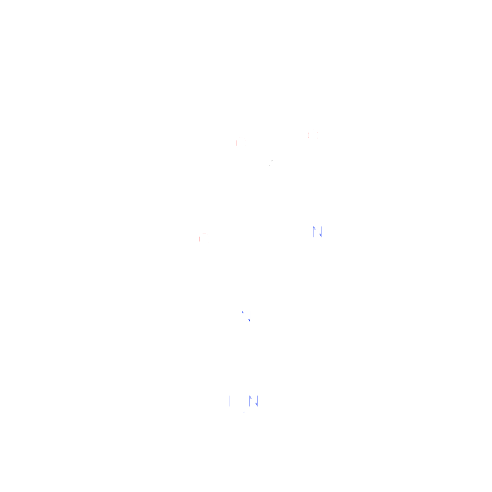 CCOC(=O)c1c(OC(C)C)c2nc(N)c(CC)cc2n1C